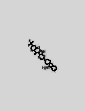 C=C(c1ncc(C(F)(F)F)cc1Cl)c1n[nH]c2nc(N3CCC4(CC3)Cc3ccccc3[C@H]4N)cnc12